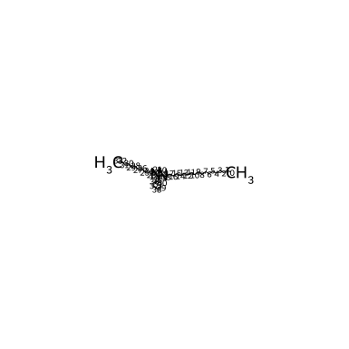 CCCCCCCCCCCCCCCCCCCN1C=CN(CCCCCCCCCCC)C1c1ccccc1